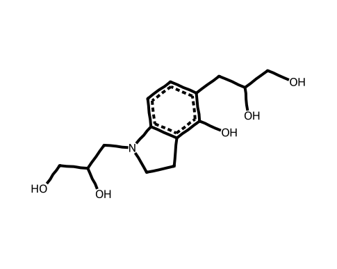 OCC(O)Cc1ccc2c(c1O)CCN2CC(O)CO